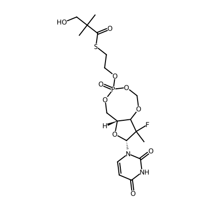 CC(C)(CO)C(=O)SCCOP1(=O)OCOC2[C@@H](CO1)O[C@@H](n1ccc(=O)[nH]c1=O)C2(C)F